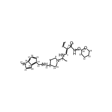 C=C/C(=C\NC(C)N1CCC(CNCc2cccc3c2ccn3C)CC1)C(=O)NOC1CCCCO1